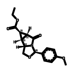 CCOC(=O)[C@H]1[C@H]2C(=O)N3[C@@H](c4ccc(OC)cc4)OC[C@@H]3[C@H]21